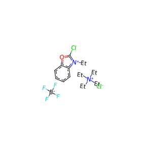 CC[N+](CC)(CC)CC.CC[n+]1c(Cl)oc2ccccc21.F[B-](F)(F)F.[Cl-]